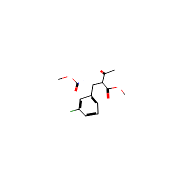 COC(=O)N[C@@H](c1cccc(F)c1)C(C(C)=O)C(=O)OC